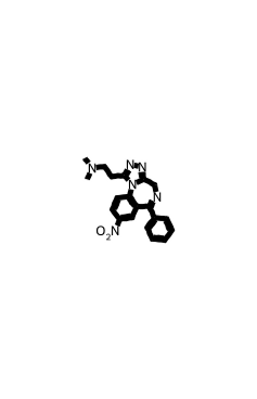 CN(C)CCc1nnc2n1-c1ccc([N+](=O)[O-])cc1C(c1ccccc1)=NC2